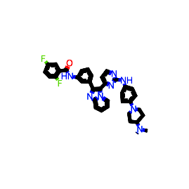 CN(C)C1CCN(c2ccc(Nc3nccc(-c4c(-c5cccc(NC(=O)c6cc(F)ccc6F)c5)nc5ccccn45)n3)cc2)CC1